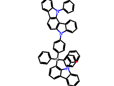 c1ccc(-n2c3ccccc3c3cccc([Si](c4ccccc4)(c4ccccc4)c4ccc(-n5c6ccccc6c6c5ccc5c7ccccc7n(-c7ccccc7)c56)cc4)c32)cc1